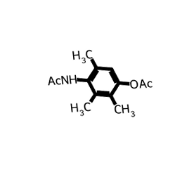 CC(=O)Nc1c(C)cc(OC(C)=O)c(C)c1C